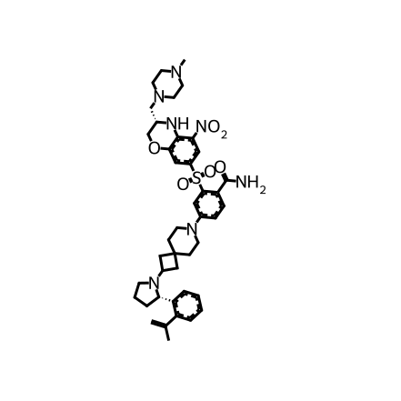 C=C(C)c1ccccc1[C@@H]1CCCN1C1CC2(CCN(c3ccc(C(N)=O)c(S(=O)(=O)c4cc5c(c([N+](=O)[O-])c4)N[C@@H](CN4CCN(C)CC4)CO5)c3)CC2)C1